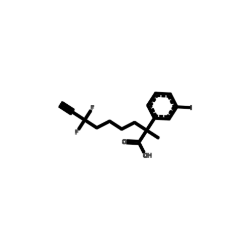 C#CC(F)(F)CCCCC(C)(C(=O)O)c1cccc(I)c1